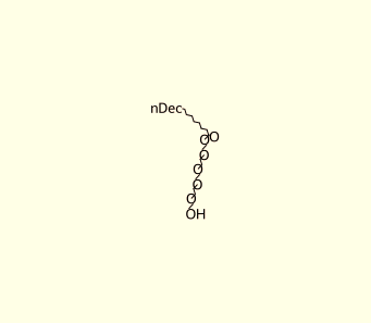 CCCCCCCCCCCCCCCCCC(=O)OCCOCCOCCOCCOCCO